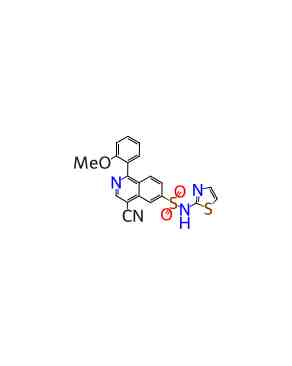 COc1ccccc1-c1ncc(C#N)c2cc(S(=O)(=O)Nc3nccs3)ccc12